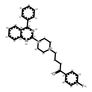 O=C(CCCN1CCN(c2nc(-c3ccccc3)c3ccccc3n2)CC1)c1ccc(F)cc1